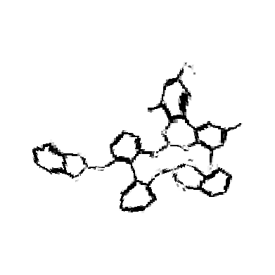 Cc1cc(P)c2op(Oc3cccc(OP4Oc5ccccc5O4)c3-c3ccccc3OP3Oc4ccccc4O3)oc3c(C)cc(P)cc3c2c1